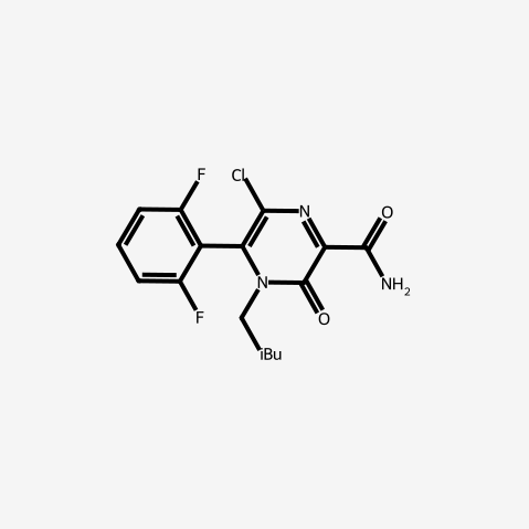 CCC(C)Cn1c(-c2c(F)cccc2F)c(Cl)nc(C(N)=O)c1=O